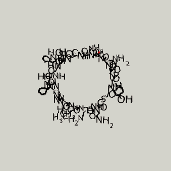 CCCC[C@H]1C(=O)N[C@@H](CCCN)C(=O)NC(C(=O)NCC(N)=O)CSCC(=O)N[C@@H](Cc2ccc(O)cc2)C(=O)N2CCOC[C@H]2C(=O)N[C@@H](CC(N)=O)C(=O)N2CCC[C@H]2C(=O)N[C@@H](CN)C(=O)N[C@@H](C)C(=O)N2C[C@H](O)C[C@H]2C(=O)N[C@@H](Cc2c[nH]c3ccccc23)C(=O)N[C@@H](CO)C(=O)N[C@@H](Cc2c[nH]c3ccccc23)c2nnnn2[C@@H](CCCC)C(=O)N1C